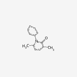 Cc1ccc(C)n(-c2ccccc2)c1=O